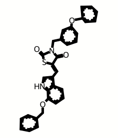 O=C1SC(=Cc2c[nH]c3c(OCc4ccccc4)cccc23)C(=O)N1Cc1cccc(Oc2ccccc2)c1